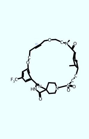 Cc1cc2ccc1CCS(=O)(=O)N1CCC3(CC1)N=C(NC3=O)c1cc(cc(C(F)(F)F)c1)OCC/C=C/COCCN(C)C2=O